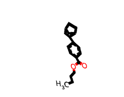 CCCCOC(=O)c1ccc(C2CC3C=CC2C3)cc1